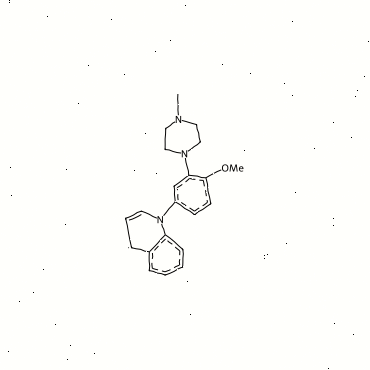 COc1ccc(N2C=C[CH]c3ccccc32)cc1N1CCN(C)CC1